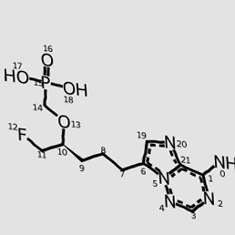 Nc1ncnn2c(CCC[C@@H](CF)OCP(=O)(O)O)cnc12